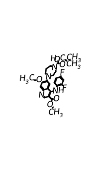 CCOC(=O)c1cnc2cc(OCC)c(N3CCCN(C(=O)OC(C)(C)C)CC3)cc2c1Nc1ccc(F)cc1F